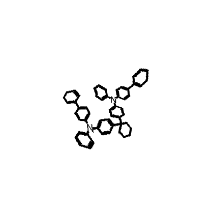 C1=CC(c2ccc(N(c3ccccc3)c3ccc(C4(c5ccc(N(c6ccccc6)c6ccc(C7=CCCC=C7)cc6)cc5)CCCCC4)cc3)cc2)=CCC1